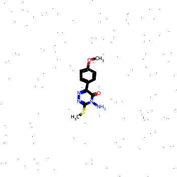 COc1ccc(-c2nnc(SC)n(N)c2=O)cc1